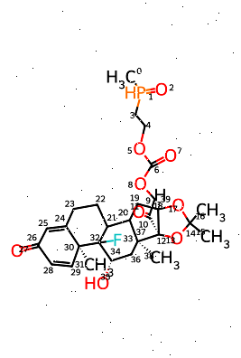 C[PH](=O)CCOC(=O)OCC(=O)[C@@]12OC(C)(C)O[C@@H]1CC1C3CCC4=CC(=O)C=C[C@]4(C)C3(F)[C@@H](O)C[C@@]12C